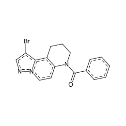 O=C(c1ccccc1)N1CCCc2c1ccn1ncc(Br)c21